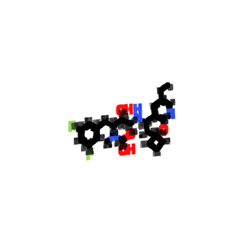 CCc1cnc2c(c1)[C@@H](NC[C@H](O)[C@H](Cc1cc(F)cc(F)c1)N(C)C(=O)O)CC1(CCC1)O2